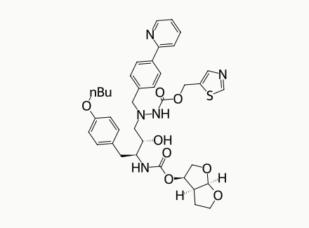 CCCCOc1ccc(C[C@H](NC(=O)O[C@H]2CO[C@H]3OCC[C@H]32)[C@@H](O)CN(Cc2ccc(-c3ccccn3)cc2)NC(=O)OCc2cncs2)cc1